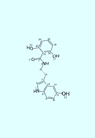 O=C(NCCc1c[nH]c2ccc(O)cc12)c1c(O)cccc1O